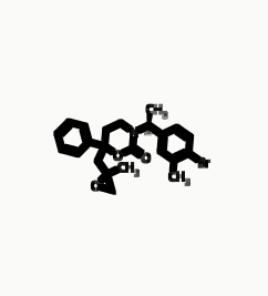 Cc1cc([C@H](C)N2CCC(CC3(C)CO3)(c3ccccc3)OC2=O)ccc1Br